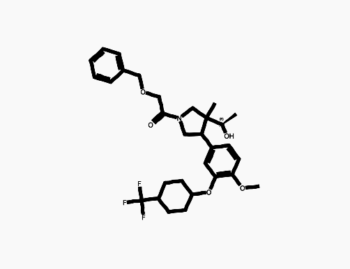 COc1ccc(C2CN(C(=O)COCc3ccccc3)CC2(C)[C@@H](C)O)cc1OC1CCC(C(F)(F)F)CC1